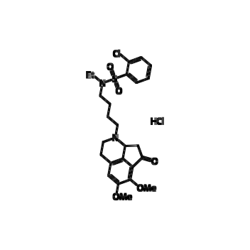 CCN(CCCCN1CCc2cc(OC)c(OC)c3c2C1CC3=O)S(=O)(=O)c1ccccc1Cl.Cl